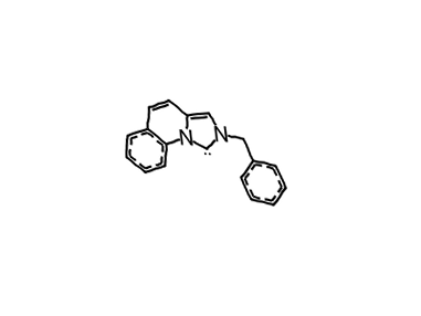 [C]1N(Cc2ccccc2)C=C2C=Cc3ccccc3N12